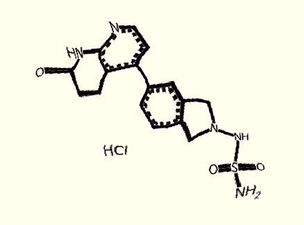 Cl.NS(=O)(=O)NN1Cc2ccc(-c3ccnc4c3CCC(=O)N4)cc2C1